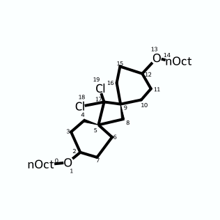 CCCCCCCCOC1CC[C@]2(CC1)C[C@@]1(CCC(OCCCCCCCC)CC1)C2(Cl)Cl